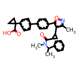 Cc1noc(-c2ccc(-c3ccc(C4(C(=O)O)CC4)cc3)cc2)c1C1CC1C(=O)N(C)C(C)c1ccccc1